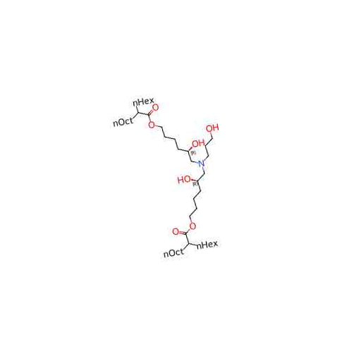 CCCCCCCCC(CCCCCC)C(=O)OCCCC[C@@H](O)CN(CCCO)C[C@H](O)CCCCOC(=O)C(CCCCCC)CCCCCCCC